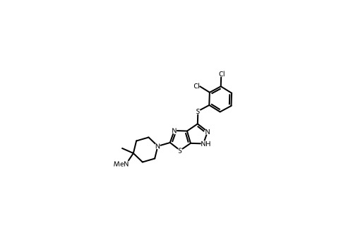 CNC1(C)CCN(c2nc3c(Sc4cccc(Cl)c4Cl)n[nH]c3s2)CC1